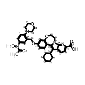 CC(=O)N(C)c1ccc(N2CCOCC2)c(COc2ccc3c(c2)OCCn2c-3c(C3CCCCC3)c3ccc(C(=O)O)nc32)c1